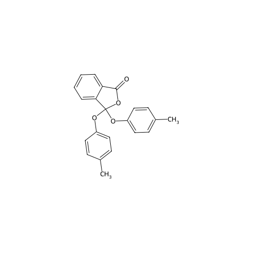 Cc1ccc(OC2(Oc3ccc(C)cc3)OC(=O)c3ccccc32)cc1